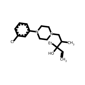 C=CC(O)(CC)C(C)CN1CCN(c2cccc(Cl)c2)CC1